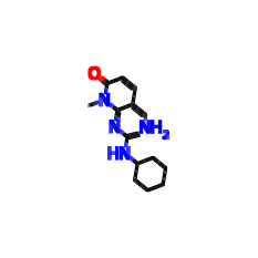 C=C(/N=C1\C(=C/N)C=CC(=O)N1C)NC1CCCCC1